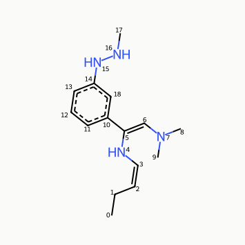 CC/C=C\N/C(=C\N(C)C)c1cccc(NNC)c1